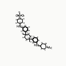 CC(=O)N1CCC(Nc2cccc(C3(C)CCC(C)(c4cccc(NC5CCN(S(C)(=O)=O)CC5)c4)CC3)c2)CC1